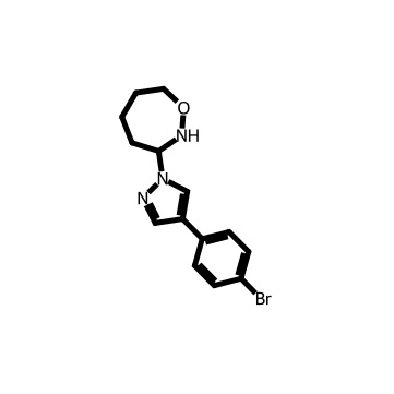 Brc1ccc(-c2cnn(C3CCCCON3)c2)cc1